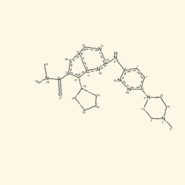 CN1CCN(c2ccc(Nc3ncc4sc(C(=O)N(C)C)c(C5CCCC5)c4n3)nn2)CC1